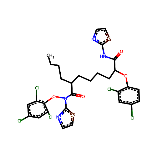 CCCCC(CCCCC(Oc1ccc(Cl)cc1Cl)C(=O)Nc1nccs1)C(=O)N(Oc1c(Cl)cc(Cl)cc1Cl)c1nccs1